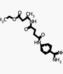 CCOC(=O)C[C@@H](C)NC(=O)CCC(=O)Nc1ccc(C(=N)N)cc1